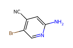 N#Cc1cc(N)ncc1Br